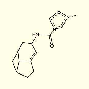 C[n+]1ccn(C(=O)NC2C=C3CCC4CC2CC34)c1